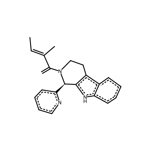 C=C(/C(C)=C/C)N1CCc2c([nH]c3ccccc23)[C@H]1c1ccccn1